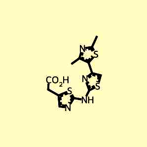 Cc1nc(C)c(-c2csc(Nc3ncc(CC(=O)O)s3)n2)s1